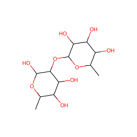 CC1OC(OC2C(O)OC(C)C(O)C2O)C(O)C(O)C1O